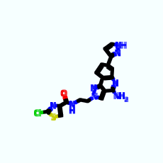 Nc1nc2cc(-c3cc[nH]n3)ccc2c2nn(CCNC(=O)c3csc(Cl)n3)cc12